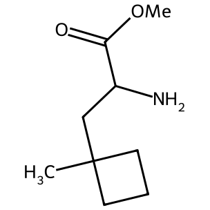 COC(=O)C(N)CC1(C)CCC1